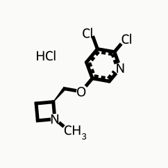 CN1CC[C@H]1COc1cnc(Cl)c(Cl)c1.Cl